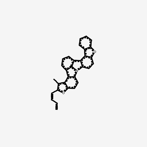 C=C/C=C\c1oc2ccc3c(c4cccc5c6c7c(ccc6n3c45)oc3ccccc37)c2c1C